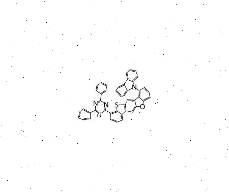 c1ccc(-c2nc(-c3ccccc3)nc(-c3cccc4c3sc3cc5c(cc34)oc3cccc(-n4c6ccccc6c6ccccc64)c35)n2)cc1